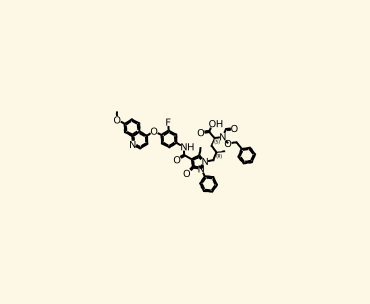 COc1ccc2c(Oc3ccc(NC(=O)c4c(C)n(C[C@H](C)C[C@@H](C(=O)O)N(C=O)OCc5ccccc5)n(-c5ccccc5)c4=O)cc3F)ccnc2c1